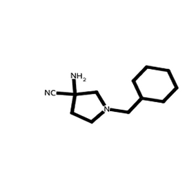 N#CC1(N)CCN(CC2CCCCC2)C1